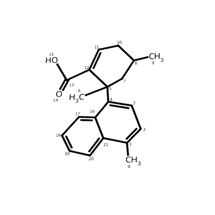 Cc1ccc(C2(C)CC(C)CC=C2C(=O)O)c2ccccc12